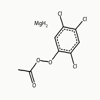 CC(=O)OOc1cc(Cl)c(Cl)cc1Cl.[MgH2]